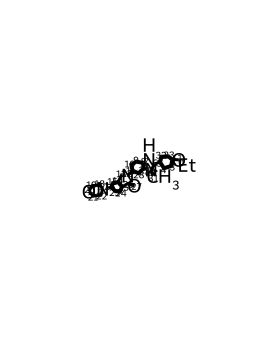 CCOc1ccc(C2Nc3ccc(N4Cc5cc(N6CCOCC6)ccc5C4=O)cc3N2C)cc1